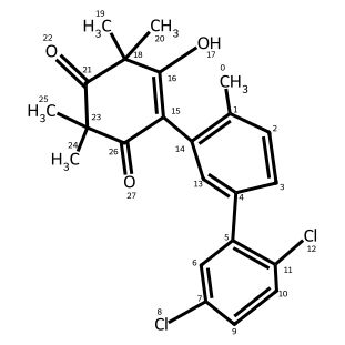 Cc1ccc(-c2cc(Cl)ccc2Cl)cc1C1=C(O)C(C)(C)C(=O)C(C)(C)C1=O